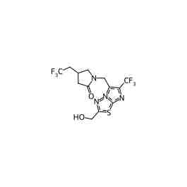 O=C1CC(CC(F)(F)F)CN1Cc1c(C(F)(F)F)nc2sc(CO)nn12